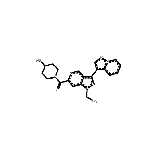 O=C(c1cc2c(cn1)c(-c1cnn3ccccc13)nn2CC(F)(F)F)N1CCC(O)CC1